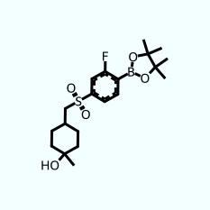 CC1(O)CCC(CS(=O)(=O)c2ccc(B3OC(C)(C)C(C)(C)O3)c(F)c2)CC1